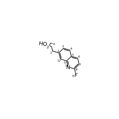 O=C(O)Cc1ccc2ccc(F)nc2c1